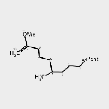 [CH2]CCC(C)CCCC(C)CCCC(=C)OC